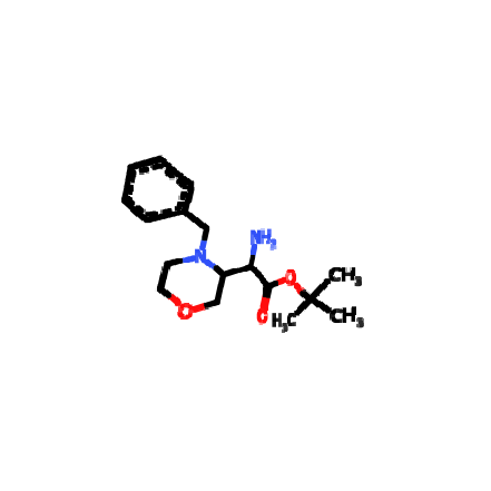 CC(C)(C)OC(=O)C(N)C1COCCN1Cc1ccccc1